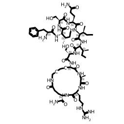 CC[C@H](C)[C@H](NC(=O)[C@H](CCC(N)=O)NC(=O)[C@H](CO)NC(=O)[C@@H](NC(=O)[C@@H](N)Cc1ccccc1)[C@@H](C)CC)C(=O)N[C@H](C(=O)N[C@@H](CO)C(=O)N[C@H]1CCCCNC(=O)CC[C@@H](C(N)=O)NC(=O)[C@H](CCCNC(=N)N)NC(=O)[C@H](C)NC1=O)[C@@H](C)CC